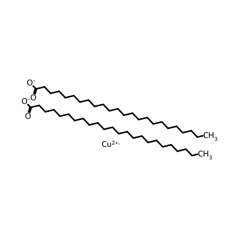 CCCCCCCCCCCCCCCCCCCCCCCC(=O)[O-].CCCCCCCCCCCCCCCCCCCCCCCC(=O)[O-].[Cu+2]